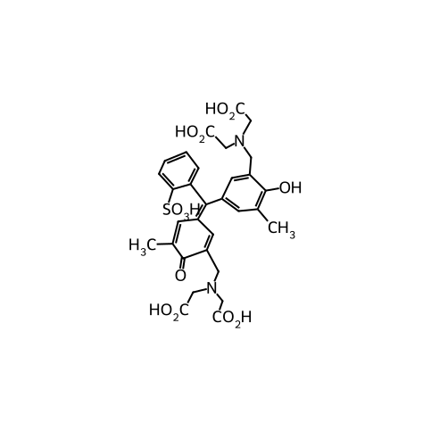 CC1=CC(=C(c2cc(C)c(O)c(CN(CC(=O)O)CC(=O)O)c2)c2ccccc2S(=O)(=O)O)C=C(CN(CC(=O)O)CC(=O)O)C1=O